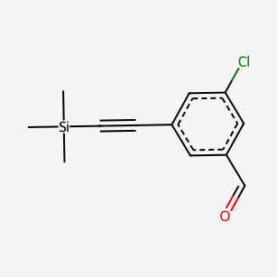 C[Si](C)(C)C#Cc1cc(Cl)cc(C=O)c1